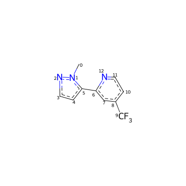 Cn1nccc1-c1cc(C(F)(F)F)ccn1